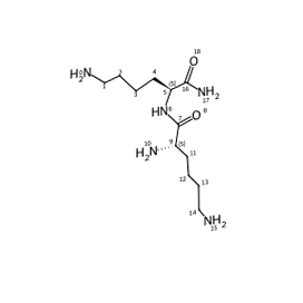 NCCCC[C@H](NC(=O)[C@@H](N)CCCCN)C(N)=O